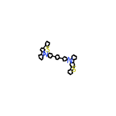 c1ccc2c(c1)sc1cc3c4ccccc4n(-c4ccc(-c5ccc(-c6ccc(-n7c8ccccc8c8ccc9c%10ccccc%10sc9c87)cc6)cc5)cc4)c3cc12